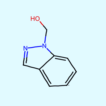 OCn1ncc2c[c]ccc21